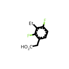 CCc1c(F)ccc(CC(=O)O)c1F